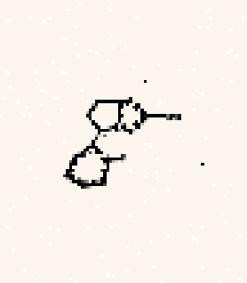 CC(C)(C)c1nc2n(n1)[C@@H](c1ccccc1F)CC2